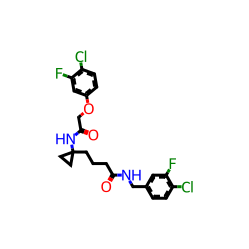 O=C(CCCC1(NC(=O)COc2ccc(Cl)c(F)c2)CC1)NCc1ccc(Cl)c(F)c1